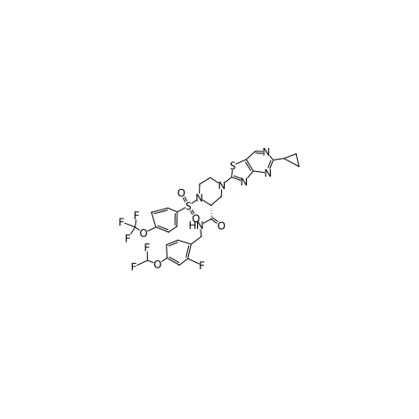 O=C(NCc1ccc(OC(F)F)cc1F)[C@H]1CN(c2nc3nc(C4CC4)ncc3s2)CCN1S(=O)(=O)c1ccc(OC(F)(F)F)cc1